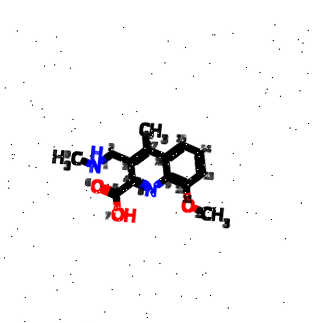 CNCc1c(C(=O)O)nc2c(OC)cccc2c1C